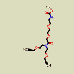 C#CCOCCN(CCOCC#C)C(=O)COCCOCCNC(=O)OC(C)(C)C